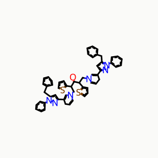 O=C(C(CN1C=CCC(c2cc(Cc3ccccc3)n(-c3ccccc3)n2)=C1)c1cccs1)C(CN1C=CCC(c2cc(Cc3ccccc3)n(-c3ccccc3)n2)=C1)c1cccs1